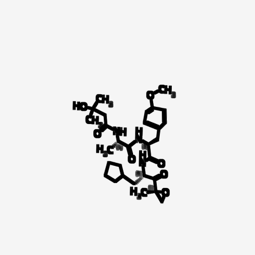 COc1ccc(C[C@H](NC(=O)[C@H](C)NC(=O)CC(C)(C)O)C(=O)N[C@@H](CC2CCCC2)C(=O)[C@@]2(C)CO2)cc1